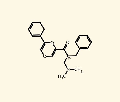 CN(C)C[C@H](Cc1ccccc1)C(=O)C1=COC=C(C2=CC=CCC2)O1